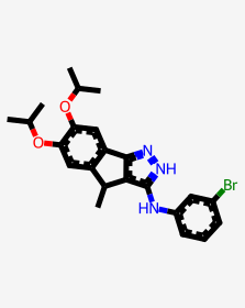 CC(C)Oc1cc2c(cc1OC(C)C)C(C)c1c-2n[nH]c1Nc1cccc(Br)c1